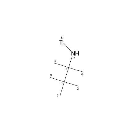 CC(C)(C)C(C)(C)[NH][Ti]